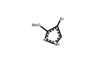 COc1n[nH]cc1C(C)=O